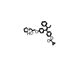 CC/C(=C(/c1ccc(OCC(O)CN2CCCC2)cc1)c1ccc(OC(=O)C2CC2)cc1)c1ccccc1